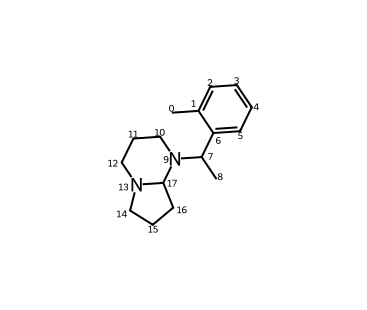 Cc1ccccc1C(C)N1CCCN2CCCC21